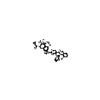 CC1(C)CN(C(=O)C2CC2)Cc2cc(Nc3ncc4c(=O)n(-c5c(F)cccc5Cl)c5nccn5c4n3)ccc21